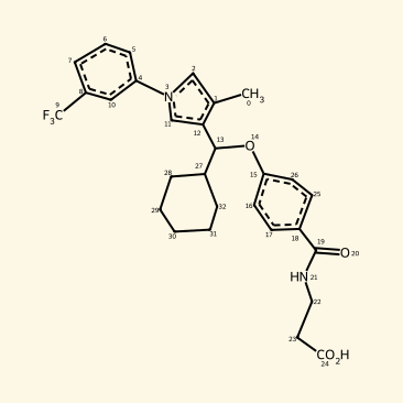 Cc1cn(-c2cccc(C(F)(F)F)c2)cc1C(Oc1ccc(C(=O)NCCC(=O)O)cc1)C1CCCCC1